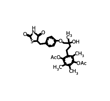 CC(=O)Oc1c(C)c(C)c(OC(C)=O)c(CCC(C)(O)COc2ccc(CC3SC(=O)NC3=O)cc2)c1C